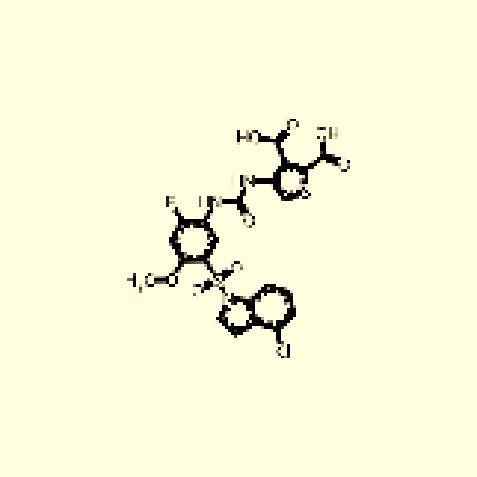 COc1cc(F)c(NC(=O)Nc2csc(C(=O)O)c2C(=O)O)cc1S(=O)(=O)n1ccc2c(Cl)cccc21